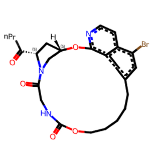 CCCC(=O)[C@@H]1C[C@H]2CN1C(=O)CNC(=O)OCCCCCc1cc(Br)c3ccnc(c3c1)O2